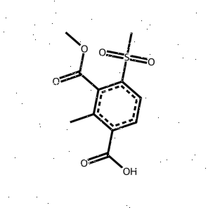 COC(=O)c1c(S(C)(=O)=O)ccc(C(=O)O)c1C